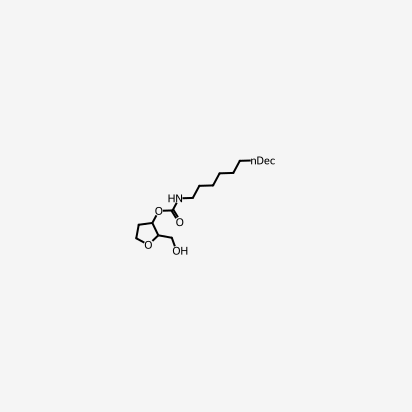 CCCCCCCCCCCCCCCCNC(=O)OC1CCOC1CO